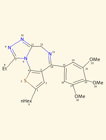 CCCCCCc1cc2c(s1)-n1c(CC)nnc1CN=C2c1cc(OC)c(OC)c(OC)c1